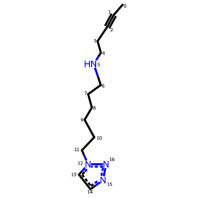 CC#CCCNCCCCCCn1ccnn1